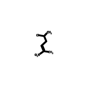 CC(=CCC(C)Cl)[N+](=O)[O-]